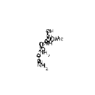 COc1cc2[nH]c([C@@H]3CCCN(C(=O)C[C@H](N)Cc4ccc(-c5ccc(N)nc5)cc4)C3)cc2c(CCCO)n1